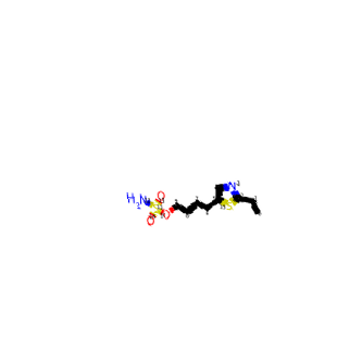 CCc1ncc(CC=CCOS(N)(=O)=O)s1